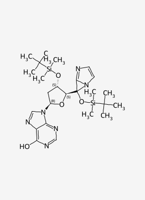 CC(C)(C)[Si](C)(C)O[C@H]1C[C@H](n2cnc3c(O)ncnc32)O[C@@H]1C1(O[Si](C)(C)C(C)(C)C)c2nccn21